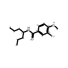 CCCC(CCC)NC(=O)c1ccc(OC)c(F)c1